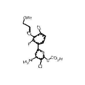 COCCOc1c(Cl)ccc(-c2cc(N)c(Cl)c(OC(=O)O)n2)c1F